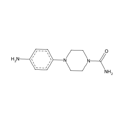 NC(=O)N1CCN(c2ccc(N)cc2)CC1